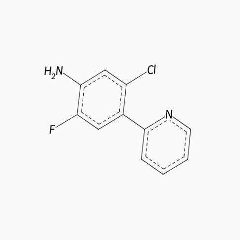 Nc1cc(Cl)c(-c2ccccn2)cc1F